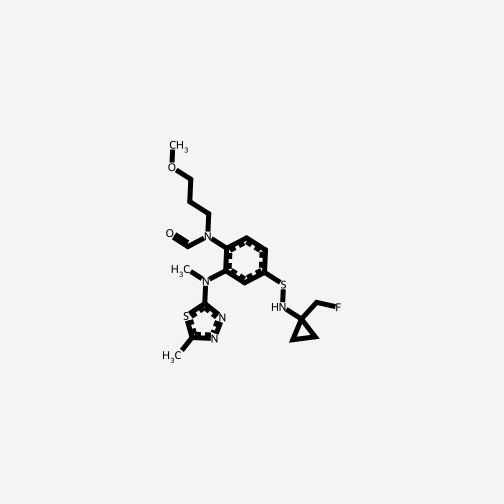 COCCCN(C=O)c1ccc(SNC2(CF)CC2)cc1N(C)c1nnc(C)s1